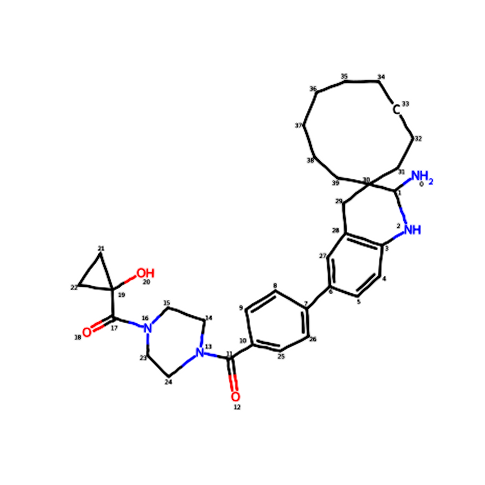 NC1Nc2ccc(-c3ccc(C(=O)N4CCN(C(=O)C5(O)CC5)CC4)cc3)cc2CC12CCCCCCCCC2